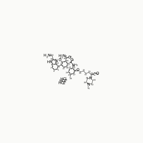 COc1c(-c2cccc3[nH]c(CN)nc23)ccc(C(=O)N(C)c2ccc(C)cc2OCCCCC(=C=O)N2CCN(C)CC2)c1C(N)=O.Cl.Cl.Cl